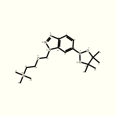 CC1(C)OB(c2ccc3nnn(COCC[Si](C)(C)C)c3c2)OC1(C)C